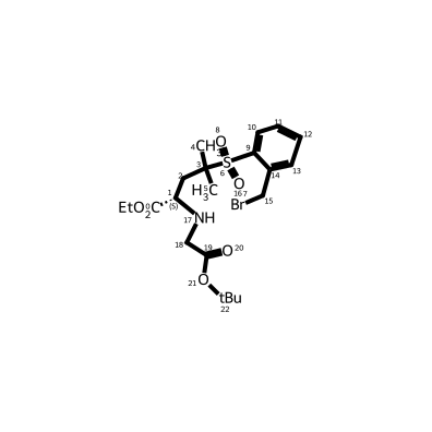 CCOC(=O)[C@H](CC(C)(C)S(=O)(=O)c1ccccc1CBr)NCC(=O)OC(C)(C)C